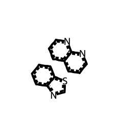 c1ccc2scnc2c1.c1cnc2ncccc2c1